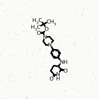 CC(C)(C)OC(=O)N1CCN(c2ccc(NC3CCC(=O)NC3=O)cc2)CC1